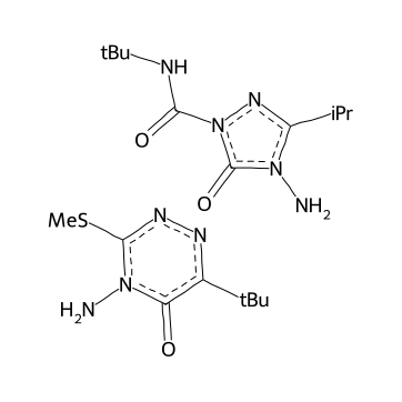 CC(C)c1nn(C(=O)NC(C)(C)C)c(=O)n1N.CSc1nnc(C(C)(C)C)c(=O)n1N